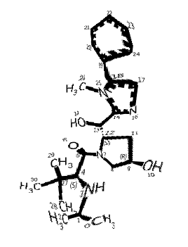 CC(C)N[C@H](C(=O)N1C[C@H](O)C[C@H]1C(O)c1ncc(-c2ccccc2)n1C)C(C)(C)C